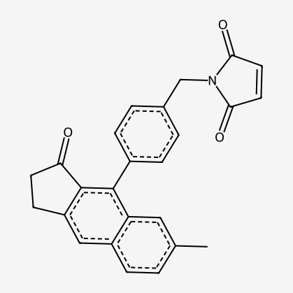 Cc1ccc2cc3c(c(-c4ccc(CN5C(=O)C=CC5=O)cc4)c2c1)C(=O)CC3